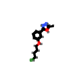 Cc1nnc(-c2cccc(OCCCCCl)c2)o1